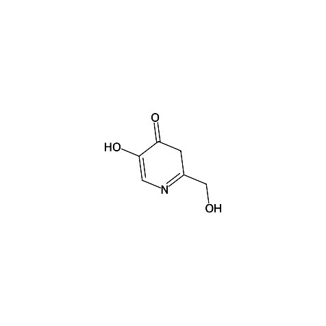 O=C1CC(CO)=NC=C1O